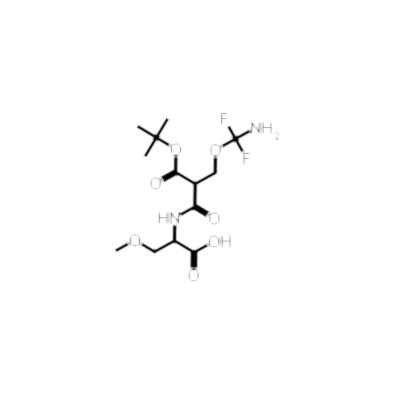 COCC(NC(=O)C(COC(N)(F)F)C(=O)OC(C)(C)C)C(=O)O